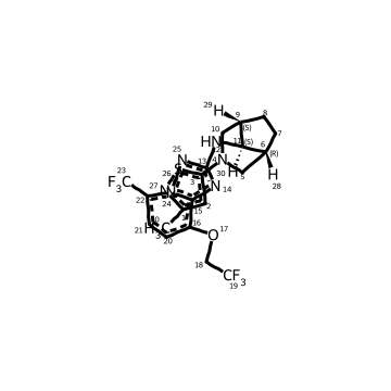 Cc1cc(N2C[C@H]3CC[C@@H](C2)[C@@H]3Nc2nc3c(OCC(F)(F)F)ccc(C(F)(F)F)n3n2)sn1